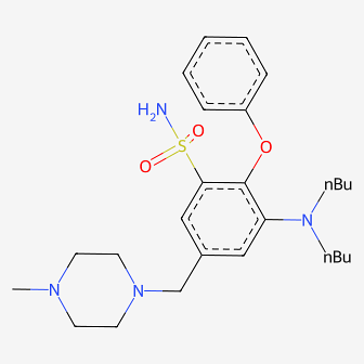 CCCCN(CCCC)c1cc(CN2CCN(C)CC2)cc(S(N)(=O)=O)c1Oc1ccccc1